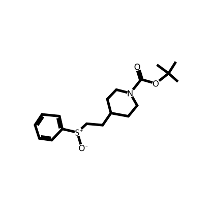 CC(C)(C)OC(=O)N1CCC(CC[S+]([O-])c2ccccc2)CC1